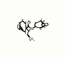 C=CCC1(C(=O)OC2CCC3OC3C2)CCC2OC2C1